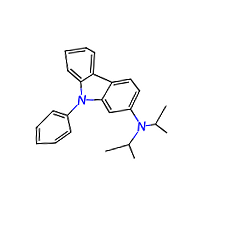 CC(C)N(c1ccc2c3ccccc3n(-c3ccccc3)c2c1)C(C)C